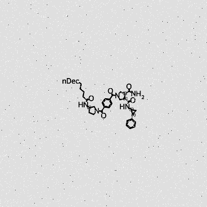 CCCCCCCCCCCCCCC(=O)N[C@H]1CCN(C(=O)c2ccc(C(=O)N3C[C@@H](C(N)=O)[C@H](C(=O)N[C@H]4C[C@@H]4c4ccccc4)C3)cc2)C1